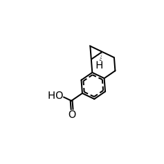 O=C(O)c1ccc2c(c1)C1C[C@H]1CC2